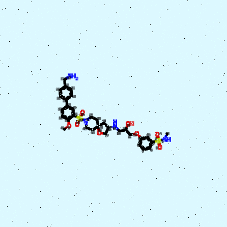 CNS(=O)(=O)c1cccc(OCC(O)CN[C@@H]2COC3(CCN(S(=O)(=O)c4cc(-c5ccc(CN)cc5)ccc4OC)CC3)C2)c1